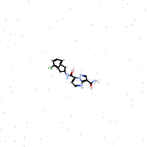 NC(=O)c1cnn2c(C(=O)NC3Cc4cccc(Cl)c4C3)ccnc12